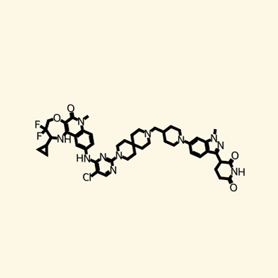 Cn1nc(C2CCC(=O)NC2=O)c2ccc(N3CCC(CN4CCC5(CC4)CCN(c4ncc(Cl)c(Nc6ccc7c(c6)c6c(c(=O)n7C)OCC(F)(F)C(C7CC7)N6)n4)CC5)CC3)cc21